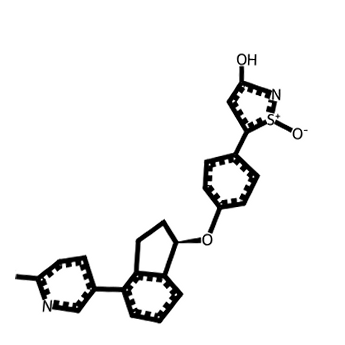 [O-][s+]1nc(O)cc1-c1ccc(O[C@@H]2CCc3c(-c4ccc(F)nc4)cccc32)cc1